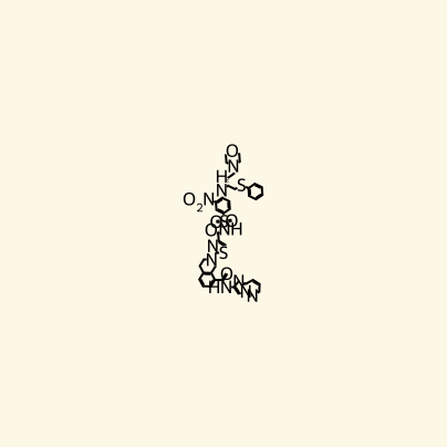 O=C(NS(=O)(=O)c1ccc(N[C@H](CCN2CCOCC2)CSc2ccccc2)c([N+](=O)[O-])c1)c1csc(N2CCc3cccc(C(=O)Nc4cn5ncccc5n4)c3C2)n1